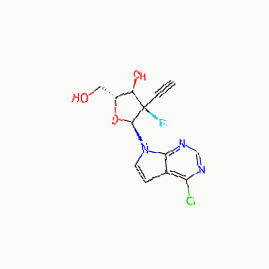 C#C[C@@]1(F)[C@H](O)[C@@H](CO)O[C@@H]1n1ccc2c(Cl)ncnc21